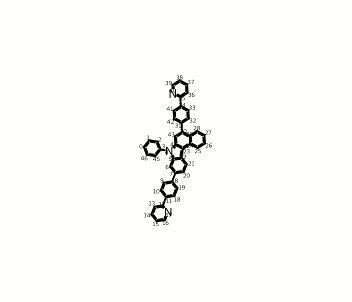 c1ccc(-n2c3cc(-c4ccc(-c5ccccn5)cc4)ccc3c3c4ccccc4c(-c4ccc(-c5ccccn5)cc4)cc32)cc1